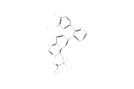 Cc1cc(-c2ncccc2-c2ccc3ncnc(NC(C)C(N)=O)c3c2)ccc1F